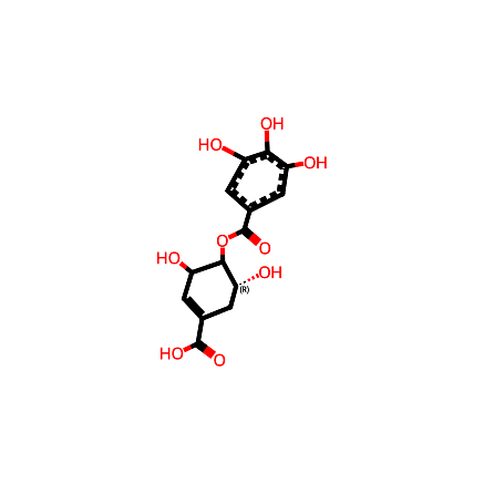 O=C(O)C1=CC(O)C(OC(=O)c2cc(O)c(O)c(O)c2)[C@H](O)C1